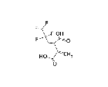 C=C(C(=O)O)C(CC(F)(F)C(F)F)C(=O)O